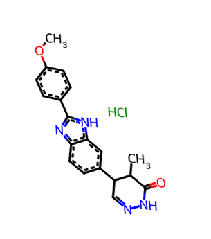 COc1ccc(-c2nc3ccc(C4C=NNC(=O)C4C)cc3[nH]2)cc1.Cl